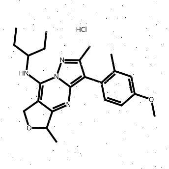 CCC(CC)Nc1c2c(nc3c(-c4ccc(OC)cc4C)c(C)nn13)C(C)OC2.Cl